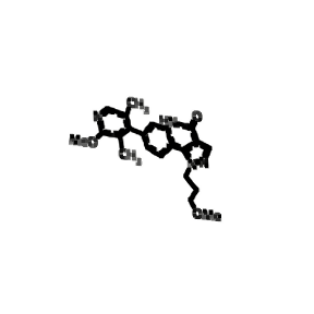 COCCCn1ncc2c(=O)[nH]c3cc(-c4c(C)cnc(OC)c4C)ccc3c21